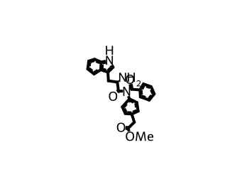 COC(=O)Cc1ccc(N(C(=O)c2ccccc2)C(=O)[C@@H](N)Cc2c[nH]c3ccccc23)cc1